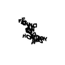 O=P(O)(O)COC[C@H]1OC(c2ccc3c(N4CCC(F)(F)C4)nc(Cl)nn23)[C@H](O)[C@@H]1O